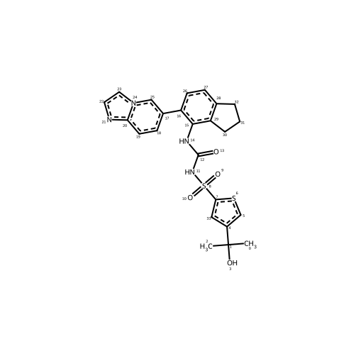 CC(C)(O)c1csc(S(=O)(=O)NC(=O)Nc2c(-c3ccc4nccn4c3)ccc3c2CCC3)c1